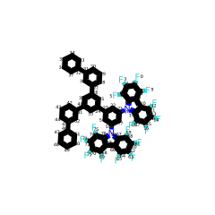 Fc1c(F)c(F)c2c(c1F)c1c(F)c(F)c(F)c(F)c1n2-c1cc(-c2cc(-c3cccc(-c4ccccc4)c3)cc(-c3cccc(-c4ccccc4)c3)c2)cc(-n2c3c(F)c(F)c(F)c(F)c3c3c(F)c(F)c(F)c(F)c32)c1